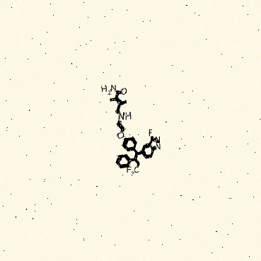 C/C(CNCCOc1ccc(/C(C2=CCC3=NN=C(F)C3=C2)=C(/CC(F)(F)F)c2ccccc2)cc1)=C(/C)C(N)=O